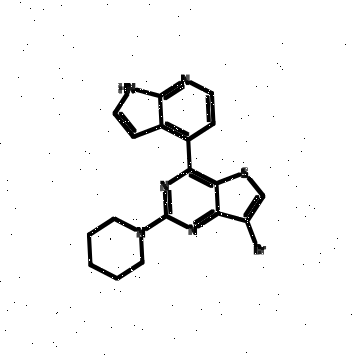 Brc1csc2c(-c3ccnc4[nH]ccc34)nc(N3CCCCC3)nc12